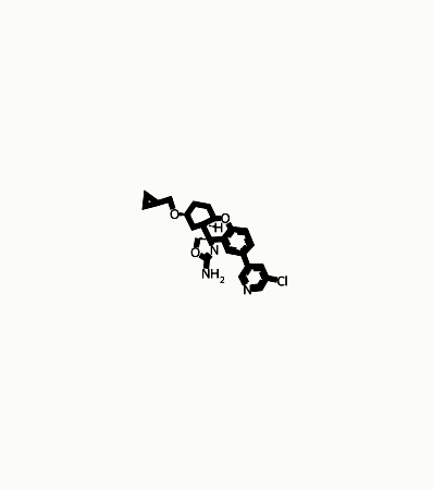 NC1=N[C@]2(CO1)c1cc(-c3cncc(Cl)c3)ccc1OC1CC[C@H](OCC3CC3)C[C@@H]12